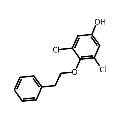 Oc1cc(Cl)c(OCCc2ccccc2)c(Cl)c1